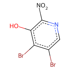 O=[N+]([O-])c1ncc(Br)c(Br)c1O